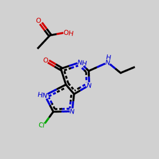 CC(=O)O.CCNc1nc2nc(Cl)[nH]c2c(=O)[nH]1